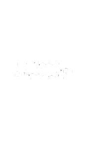 CCCCCCCCOC(=O)CCCCC(=O)O.CCCCOC(=O)CCCCCCCCC(=O)OCCCC